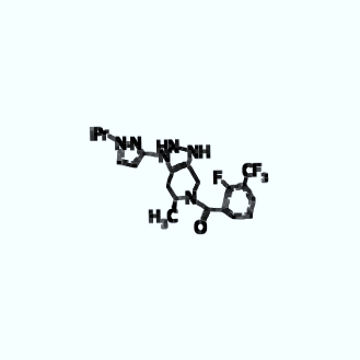 CC(C)n1ccc(N2NNC3=C2C[C@H](C)N(C(=O)c2cccc(C(F)(F)F)c2F)C3)n1